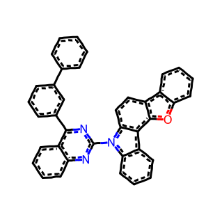 c1ccc(-c2cccc(-c3nc(-n4c5ccccc5c5c6oc7ccccc7c6ccc54)nc4ccccc34)c2)cc1